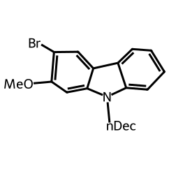 CCCCCCCCCCn1c2ccccc2c2cc(Br)c(OC)cc21